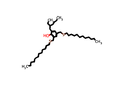 CCCCCCCCCCCCSCc1cc(CSCCCCCCCCCCCC)c(O)c(CC(CC)CCCC)c1